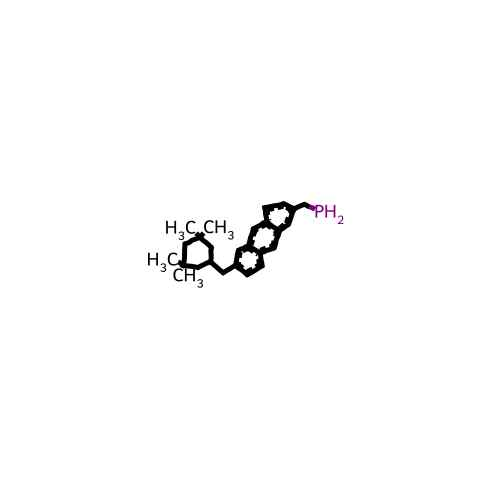 CC1(C)CC(Cc2ccc3cc4cc(CP)ccc4cc3c2)CC(C)(C)C1